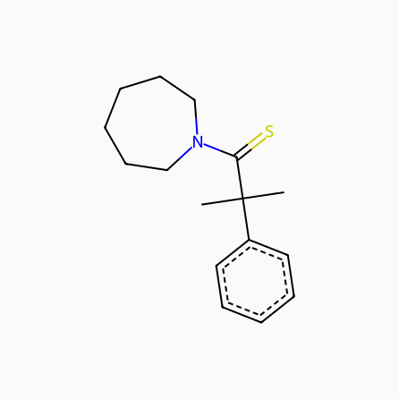 CC(C)(C(=S)N1CCCCCC1)c1ccccc1